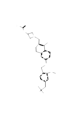 COc1cc(CC(C)(C)O)ccc1COc1ccc2c(c1)CCC(CN1CC(OC(=O)O)C1)=C2C